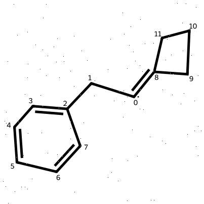 [C](Cc1ccccc1)=C1CCC1